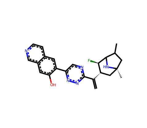 C=C(c1ncc(-c2cc3ccncc3cc2O)nn1)[C@H]1C[C@]2(C)CC(C)C(N2)[C@@H]1F